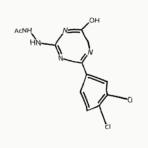 CC(=O)NNc1nc(O)nc(-c2ccc(Cl)c(Cl)c2)n1